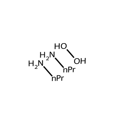 CCCN.CCCN.OO